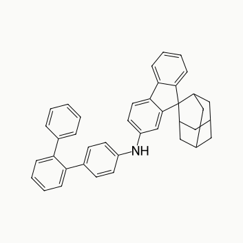 c1ccc(-c2ccccc2-c2ccc(Nc3ccc4c(c3)C3(c5ccccc5-4)C4CC5CC(C4)CC3C5)cc2)cc1